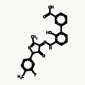 CC1=NN(c2ccc(C)c(F)c2)C(=O)C1=NNc1cccc(-c2cccc(C(=O)O)c2)c1O